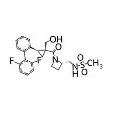 CS(=O)(=O)NC[C@@H]1CCN1C(=O)[C@]1(CO)C[C@H]1c1ccccc1-c1c(F)cccc1F